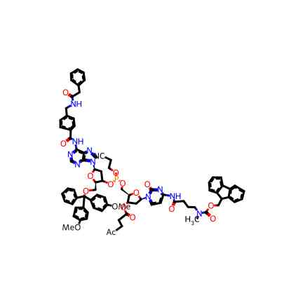 COc1ccc(C(OC[C@H]2O[C@@H](n3cnc4c(NC(=O)c5ccc(CNC(=O)Cc6ccccc6)cc5)ncnc43)CC2OP(OCCC#N)OC[C@H]2O[C@@H](n3ccc(NC(=O)CCCN(C)C(=O)OCC4c5ccccc5-c5ccccc54)nc3=O)CC2OC(=O)CCC(C)=O)(c2ccccc2)c2ccc(OC)cc2)cc1